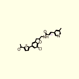 CC(=O)c1ccc(-c2cc(Cl)c3c(c2)CC(CNC(=O)/C=C/c2cncc(C)c2)O3)s1